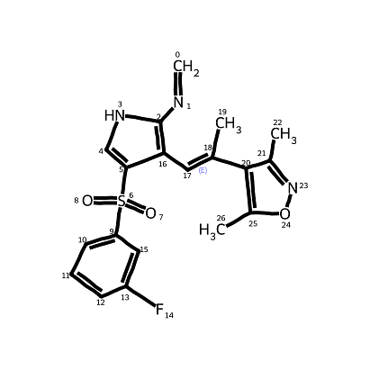 C=Nc1[nH]cc(S(=O)(=O)c2cccc(F)c2)c1/C=C(\C)c1c(C)noc1C